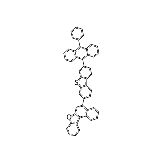 c1ccc(-c2c3ccccc3c(-c3ccc4c(c3)sc3cc(-c5cc6oc7ccccc7c6c6ccccc56)ccc34)c3ccccc23)cc1